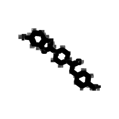 CC(C)c1ccc(CC(=O)N2CCN(c3nc4ncc(F)cc4o3)CC2)cc1